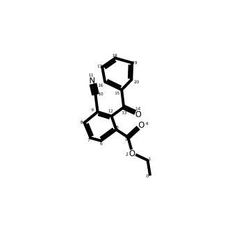 CCOC(=O)c1cccc(C#N)c1C(=O)c1ccccc1